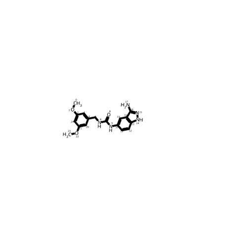 COc1cc(CNC(=O)Nc2ccc3[nH]nc(N)c3c2)cc(OC)c1